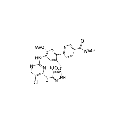 CCOC(=O)c1c[nH]nc1Nc1nc(Nc2cc(C)c(-c3ccc(C(=O)NC)cc3)cc2OC)ncc1Cl